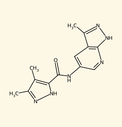 Cc1n[nH]c(C(=O)Nc2cnc3[nH]nc(C)c3c2)c1C